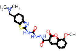 COc1cccc2cc(C(=O)NNC(=O)Nc3nc4ccc(CN(C)C)cc4s3)c(=O)oc12